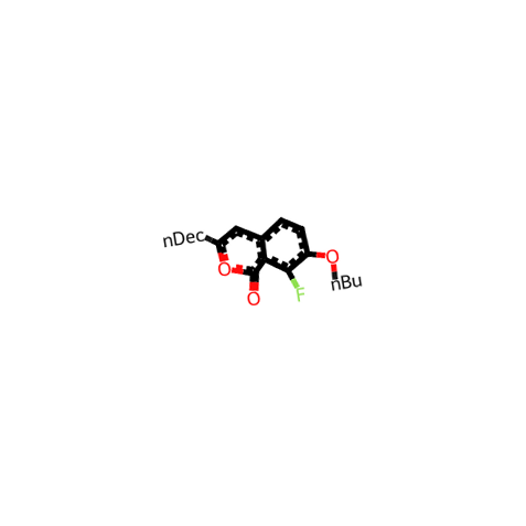 CCCCCCCCCCc1cc2ccc(OCCCC)c(F)c2c(=O)o1